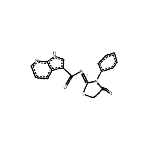 O=C(/N=C1\SCC(=O)N1c1ccccc1)c1c[nH]c2ncccc12